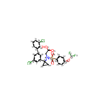 O=C(O)CN(C1(c2cc(Cl)cc(-c3cccc(Cl)c3)c2)CC1)S(=O)(=O)c1ccc(OC(F)F)cc1